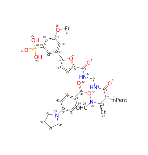 CCCCC[C@@H](C(=O)NCNC(=O)c1ccc(-c2cc(OCC)cc(P(=O)(O)O)c2)o1)[C@@H](CC)N(C=O)OC(=O)c1ccc(N2CCCC2)cc1